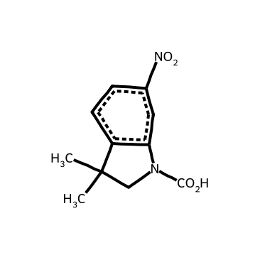 CC1(C)CN(C(=O)O)c2cc([N+](=O)[O-])ccc21